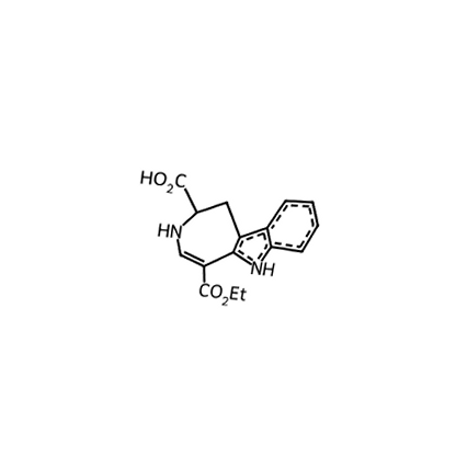 CCOC(=O)C1=CNC(C(=O)O)Cc2c1[nH]c1ccccc21